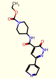 CCOC(=O)N1CCC(NC(=O)c2cc(-c3ccncc3)n[nH]c2=O)CC1